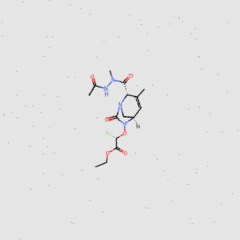 CCOC(=O)[C@H](F)ON1C(=O)N2C[C@H]1C=C(C)[C@H]2C(=O)N(C)NC(C)=O